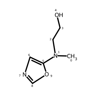 CN(CCO)c1cnco1